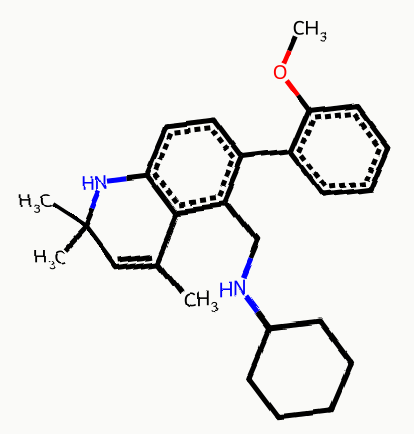 COc1ccccc1-c1ccc2c(c1CNC1CCCCC1)C(C)=CC(C)(C)N2